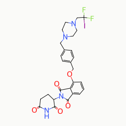 O=C1CCC(N2C(=O)c3cccc(OCc4ccc(CN5CCN(CC(F)(F)I)CC5)cc4)c3C2=O)C(=O)N1